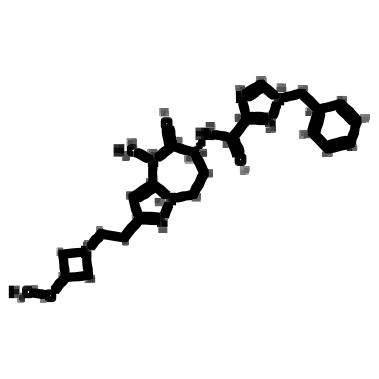 COC1CN(CCc2cc3n(n2)CC[C@@H](NC(=O)c2ncn(Cc4ccccc4)n2)C(=O)N3C)C1